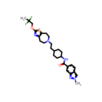 Cn1cc2ccc(C(=O)NC3CCC(CCN4CCc5nc(OCC(C)(F)F)sc5CC4)CC3)cc2n1